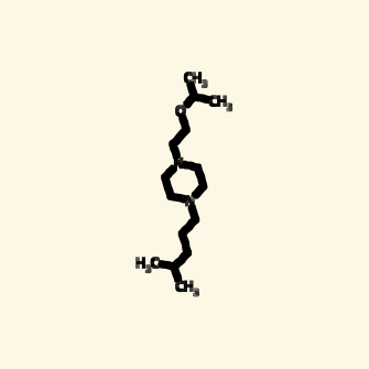 CC(C)CCCN1CCN(CCOC(C)C)CC1